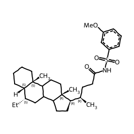 CC[C@H]1CC2C3CC[C@H]([C@H](C)CCC(=O)NS(=O)(=O)c4cccc(OC)c4)[C@@]3(C)CCC2[C@@]2(C)CCCC[C@@H]12